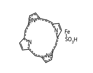 C1=Cc2cc3ccc(cc4nc(cc5ccc(cc1n2)[nH]5)C=C4)[nH]3.O=[S](=O)(O)[Fe]